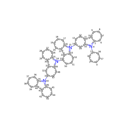 c1ccc(-n2c3ccccc3c3ccc(-n4c5ccccc5c5c(-n6c7ccccc7c7cc(-n8c9ccccc9c9ccccc98)ccc76)cccc54)cc32)cc1